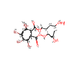 CC(O)COOC(=O)c1c(Br)c(Br)c(Br)c(Br)c1C(=O)OCCCCO